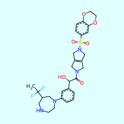 CC(F)(F)C1CNCCN(c2cccc(C(O)C(=O)N3CC4=C(C3)CN(S(=O)(=O)c3ccc5c(c3)OCCO5)C4)c2)C1